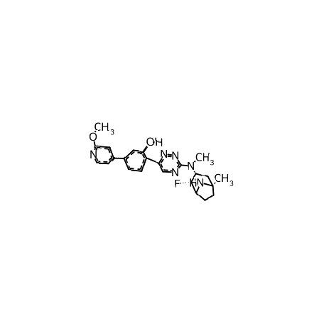 COc1cc(-c2ccc(-c3cnc(N(C)[C@@H]4C[C@@]5(C)CCC(N5)[C@@H]4F)nn3)c(O)c2)ccn1